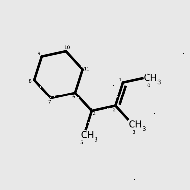 CC=C(C)[C](C)C1CCCCC1